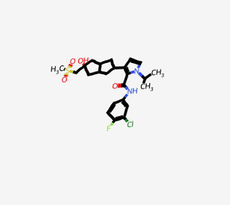 CC(C)n1ccc(C2CC3CC(O)(CS(C)(=O)=O)CC3C2)c1C(=O)Nc1ccc(F)c(Cl)c1